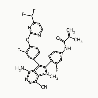 C=C(C)C(=O)Nc1ccc(-c2c(-c3ccc(Oc4nccc(C(F)F)n4)c(F)c3)c3c(N)ncc(C#N)c3n2C)c(F)c1